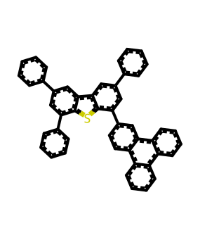 c1ccc(-c2cc(-c3ccccc3)c3sc4c(-c5ccc6c7ccccc7c7ccccc7c6c5)cc(-c5ccccc5)cc4c3c2)cc1